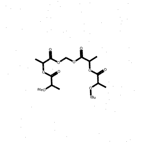 COC(C)C(=O)OC(C)C(=O)OCOC(=O)C(C)OC(=O)C(C)OC(C)(C)C